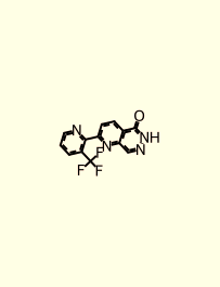 O=c1[nH]ncc2nc(-c3ncccc3C(F)(F)F)ccc12